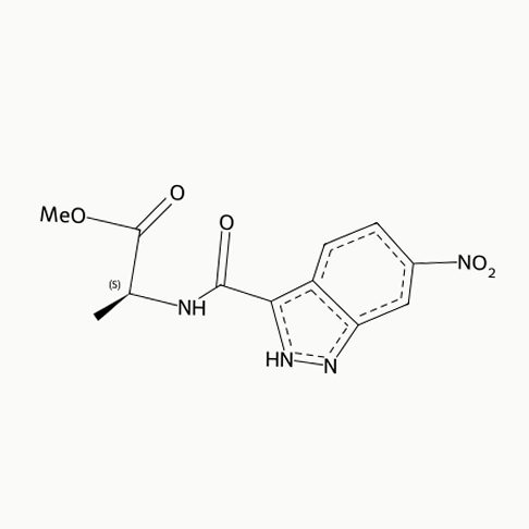 COC(=O)[C@H](C)NC(=O)c1[nH]nc2cc([N+](=O)[O-])ccc12